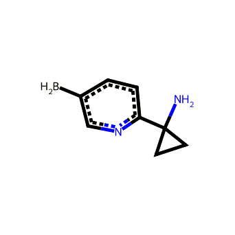 Bc1ccc(C2(N)CC2)nc1